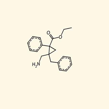 CCOC(=O)C1(c2ccccc2)CC1(CN)Cc1ccccc1